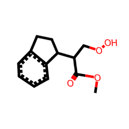 COC(=O)C(COO)C1CCc2ccccc21